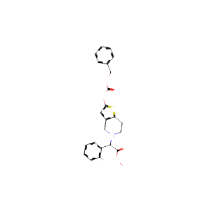 COC(=O)C(c1ccccc1Cl)N1CCc2sc(OC(=O)OCc3ccccc3)cc2C1